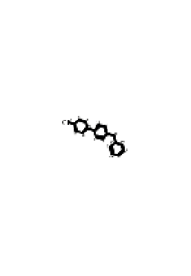 Clc1ccc(-c2ccc(Cc3[c]cccc3)cc2)cc1